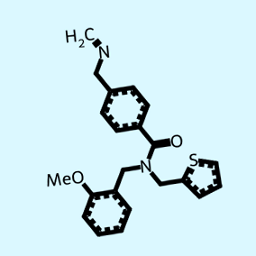 C=NCc1ccc(C(=O)N(Cc2cccs2)Cc2ccccc2OC)cc1